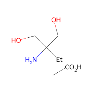 CC(=O)O.CCC(N)(CO)CO